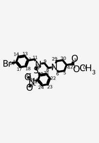 COC(=O)C1CCN(CCN(Cc2ccc(Br)cc2)Sc2ccccc2[N+](=O)[O-])CC1